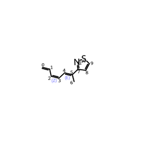 C=C/C=C\C=C(/C)c1ccsn1